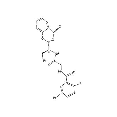 CC(C)C[C@H](NC(=O)CNC(=O)c1cc(Br)ccc1F)B1OC(=O)c2ccccc2O1